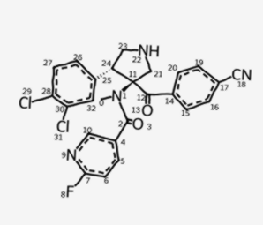 CN(C(=O)c1ccc(F)nc1)[C@]1(C(=O)c2ccc(C#N)cc2)CNC[C@H]1c1ccc(Cl)c(Cl)c1